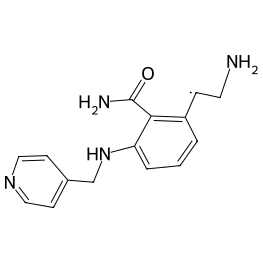 NC[CH]c1cccc(NCc2ccncc2)c1C(N)=O